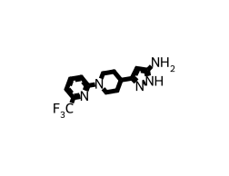 Nc1cc(C2CCN(c3cccc(C(F)(F)F)n3)CC2)n[nH]1